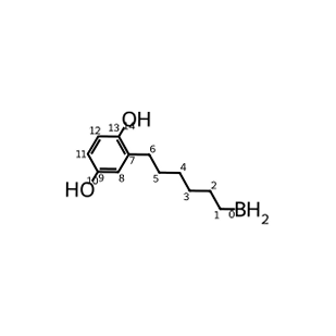 BCCCCCCc1cc(O)ccc1O